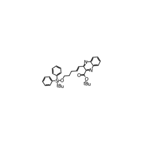 CC(C)(C)OC(=O)c1nc2ccccc2nc1/C=C/CCCO[Si](c1ccccc1)(c1ccccc1)C(C)(C)C